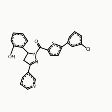 O=C(c1ccc(-c2cccc(Cl)c2)s1)N1N=C(c2cccnc2)CC1c1ccccc1O